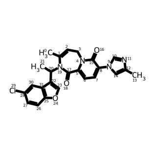 CC1=CCn2c(ccc(-n3cnc(C)c3)c2=O)C(=O)N1C(C)c1coc2ccc(Cl)cc12